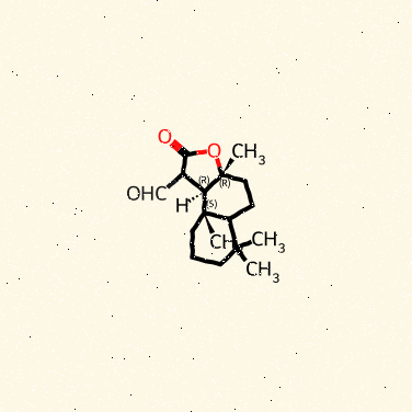 CC1(C)CCC[C@@]2(C)C1CC[C@@]1(C)OC(=O)C(C=O)[C@@H]12